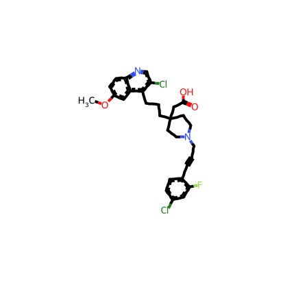 COc1ccc2ncc(Cl)c(CCCC3(CC(=O)O)CCN(CC#Cc4ccc(Cl)cc4F)CC3)c2c1